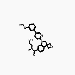 CCOc1cccc(-c2cnc(N3CC4(COC4)c4ccc(C(=O)N(C)CCO)cc43)nc2)c1